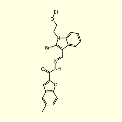 CCOCCn1c(Br)c(C=NNC(=O)c2cc3cc(C)ccc3o2)c2ccccc21